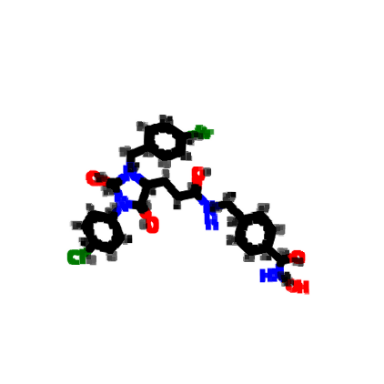 O=C(CCC1C(=O)N(c2ccc(Cl)cc2)C(=O)N1Cc1ccc(Br)cc1)NCc1ccc(C(=O)NO)cc1